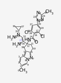 Cc1ccc2c3c(nn2c1)CCC(NC(=O)c1c(Cl)cc(-n2cnc(C)n2)cc1Cl)(/C(N)=C/N(N)C1CC1)C3